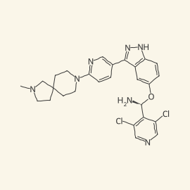 CN1CCC2(CCN(c3ccc(-c4n[nH]c5ccc(O[C@H](N)c6c(Cl)cncc6Cl)cc45)cn3)CC2)C1